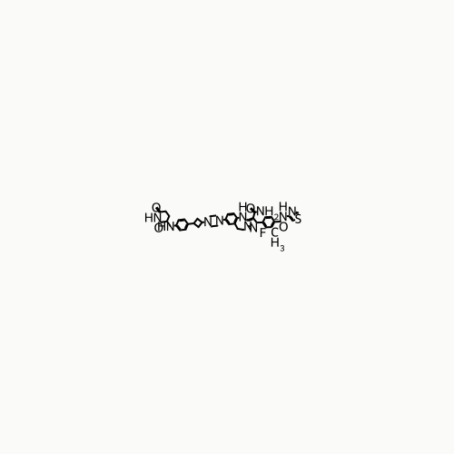 Cc1c(C(=O)Nc2cscn2)ccc(-c2nn3c(c2C(N)=O)Nc2ccc(N4CCN(C5CC(c6ccc(N[C@@H]7CCC(=O)NC7=O)cc6)C5)CC4)cc2CC3)c1F